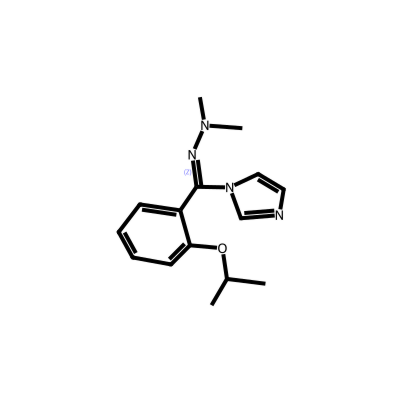 CC(C)Oc1ccccc1/C(=N/N(C)C)n1ccnc1